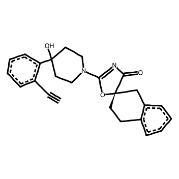 C#Cc1ccccc1C1(O)CCN(C2=NC(=O)[C@@]3(CCc4ccccc4C3)O2)CC1